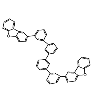 c1cc(-c2cccc(-c3cccc(-c4ccc5oc6ccccc6c5c4)c3)c2)cc(-c2cccc(-c3ccc4oc5ccccc5c4c3)c2)c1